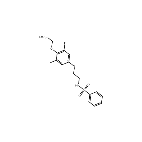 CCOC(=O)COc1c(F)cc(SCCNS(=O)(=O)c2ccccc2)cc1F